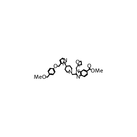 COCc1ccc(OCc2ccnn2C2CCN(Cc3nc4ccc(C(=O)OC)cc4n3C[C@@H]3CCO3)CC2)cc1